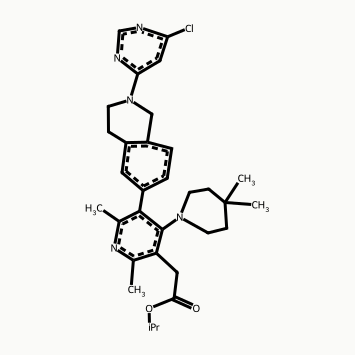 Cc1nc(C)c(-c2ccc3c(c2)CCN(c2cc(Cl)ncn2)C3)c(N2CCC(C)(C)CC2)c1CC(=O)OC(C)C